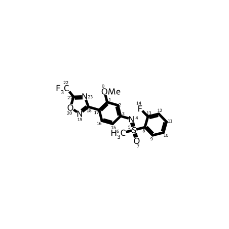 COc1cc(N=S(C)(=O)c2ccccc2F)ccc1-c1noc(C(F)(F)F)n1